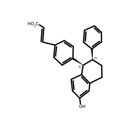 O=C(O)C=Cc1ccc([C@@H]2c3ccc(O)cc3CC[C@@H]2c2ccccc2)cc1